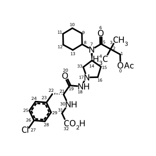 CC(=O)OCC(C)(C)C(=O)N(C1CCCCC1)[C@H]1CCN(NC(=O)[C@@H](Cc2ccc(Cl)cc2)NCC(=O)O)C1